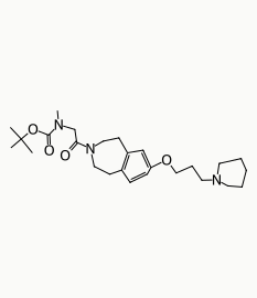 CN(CC(=O)N1CCc2ccc(OCCCN3CCCCC3)cc2CC1)C(=O)OC(C)(C)C